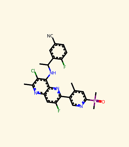 Cc1cc(P(C)(C)=O)ncc1-c1nc2c(NC(C)c3cc(C#N)ccc3F)c(Cl)c(C)nc2cc1F